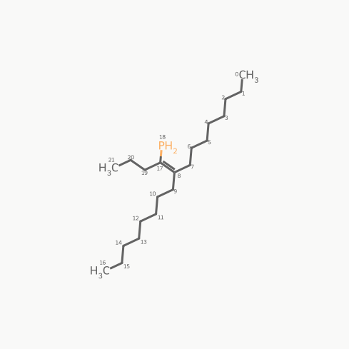 CCCCCCCCC(CCCCCCCC)=C(P)CCC